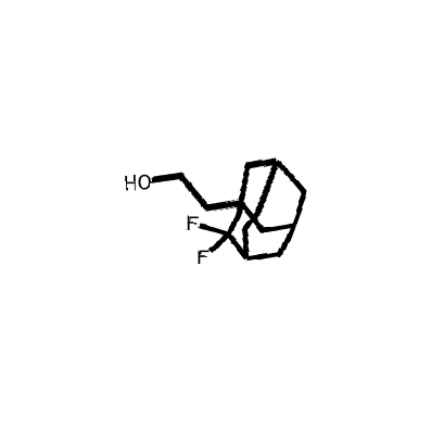 OCCC12CC3CC(CC(C3)C1(F)F)C2